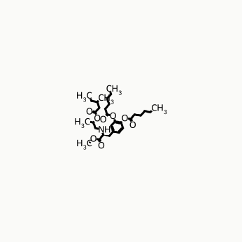 CCCCCC(=O)Oc1ccc(C[C@H](NCC(C)OC(=O)CC(C)CC)C(=O)OC)cc1OC(=O)CCCCC